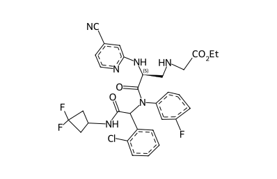 CCOC(=O)CNC[C@H](Nc1cc(C#N)ccn1)C(=O)N(c1cccc(F)c1)C(C(=O)NC1CC(F)(F)C1)c1ccccc1Cl